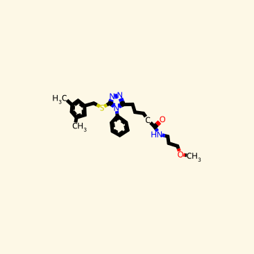 COCCCNC(=O)CCCCc1nnc(SCc2cc(C)cc(C)c2)n1-c1ccccc1